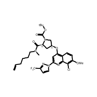 C=CCCCCN(C)C(=O)[C@@H]1C[C@H](Oc2cc(-n3ccc(C(F)(F)F)n3)nc3c(Cl)c(OC)ccc23)CN1C(=O)OC(C)(C)C